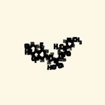 Cc1ccc(N(C)C(=O)N2CC(N(C(=O)O)C3CN(c4cc(F)c(C5CCC(=O)NC5=O)c(F)c4)C3)C2)cn1